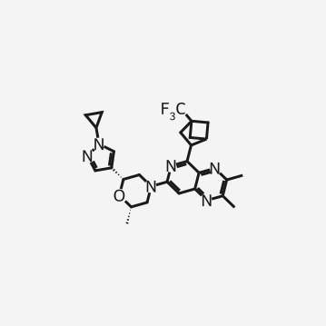 Cc1nc2cc(N3C[C@@H](c4cnn(C5CC5)c4)O[C@@H](C)C3)nc(C3CC4(C(F)(F)F)CC3C4)c2nc1C